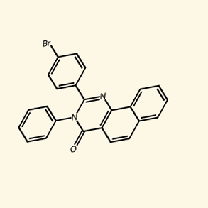 O=c1c2ccc3ccccc3c2nc(-c2ccc(Br)cc2)n1-c1ccccc1